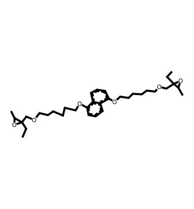 CCC1(COCCCCCCOc2cccc3c(OCCCCCCOCC4(CC)OC4C)cccc23)OC1C